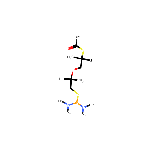 CC(C)C(=O)SC(C)(C)COC(C)(C)CSP(N(C(C)C)C(C)C)N(C(C)C)C(C)C